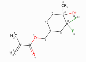 C=C(C)C(=O)OCC1CCC(O)(C(F)(F)F)C(F)(F)C1